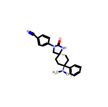 CN(C)[C@]1(c2ccccc2)CC[C@]2(CC1)CN(c1ccc(C#N)cc1)C(=O)N2